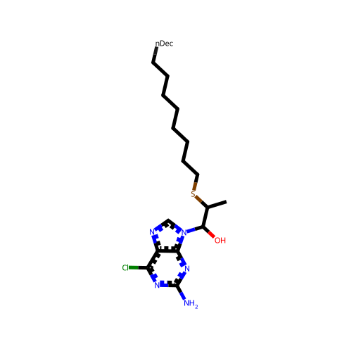 CCCCCCCCCCCCCCCCCCSC(C)C(O)n1cnc2c(Cl)nc(N)nc21